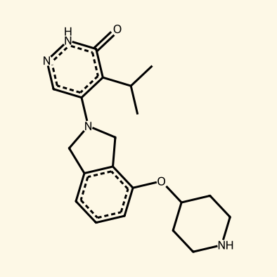 CC(C)c1c(N2Cc3cccc(OC4CCNCC4)c3C2)cn[nH]c1=O